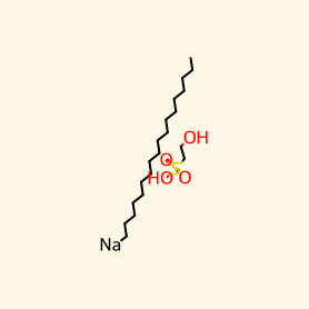 CCCCCCCCCCCCCCCCC[CH2][Na].O=S(=O)(O)CCO